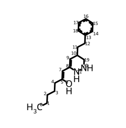 CCCCC/C(O)=C/C1=CC(CCc2ccccc2)CNN1